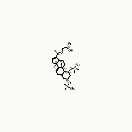 CC(C)[C@H](O)CO[C@H](C)C1=CC[C@H]2C3=CC=C4C[C@@H](O[Si](C)(C)C(C)(C)C)C[C@H](O[Si](C)(C)C(C)(C)C)[C@]4(C)[C@H]3CC[C@]12C